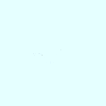 CN[C@H](C=O)Cc1ccc2ccccn12